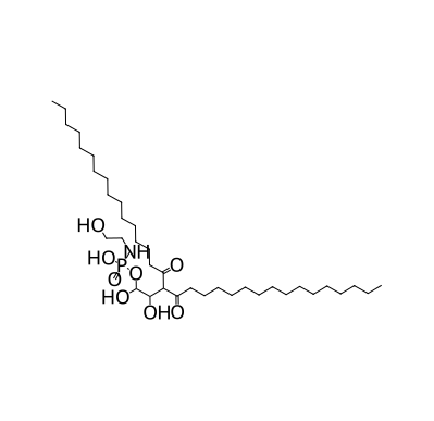 CCCCCCCCCCCCCCCC(=O)C(C(=O)CCCCCCCCCCCCCCC)C(O)C(O)OP(=O)(O)NCCO